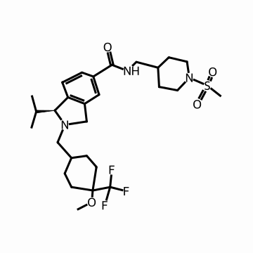 COC1(C(F)(F)F)CCC(CN2Cc3cc(C(=O)NCC4CCN(S(C)(=O)=O)CC4)ccc3[C@@H]2C(C)C)CC1